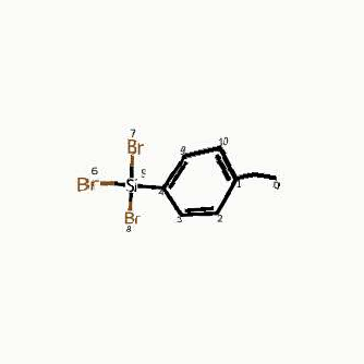 Cc1ccc([Si](Br)(Br)Br)cc1